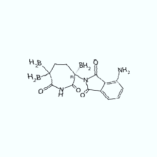 BC1(B)CC[C@@](B)(N2C(=O)c3cccc(N)c3C2=O)C(=O)NC1=O